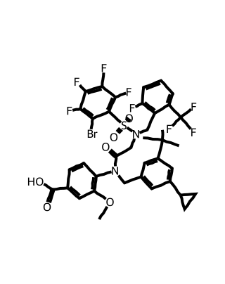 COc1cc(C(=O)O)ccc1N(Cc1cc(C2CC2)cc(C(C)(C)C)c1)C(=O)CN(Cc1c(F)cccc1C(F)(F)F)S(=O)(=O)c1c(F)c(F)c(F)c(F)c1Br